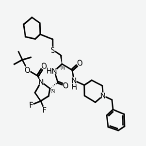 CC(C)(C)OC(=O)N1CC(F)(F)C[C@H]1C(=O)N[C@@H](CSCC1CCCCC1)C(=O)NC1CCN(Cc2ccccc2)CC1